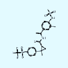 Cc1cc(C(C)NC(=O)C2CC2(C)c2ccc(S(=O)(=O)C(F)(F)F)cc2)ccc1NS(C)(=O)=O